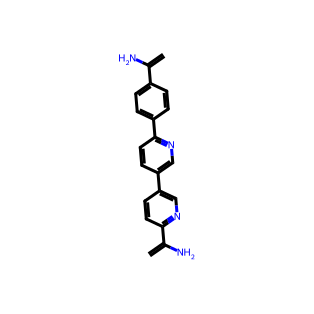 C=C(N)c1ccc(-c2ccc(-c3ccc(C(=C)N)nc3)cn2)cc1